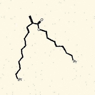 C=C(CCCCCCCCCC(C)C)C(=O)OCCCCCCCC(C)C